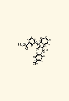 CC(=O)c1cccc(N2C(=O)[C@@]3(C[C@H]3c3ccc(Cl)cc3)c3ccccc32)c1